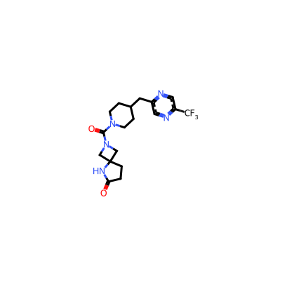 O=C1CCC2(CN(C(=O)N3CCC(Cc4cnc(C(F)(F)F)cn4)CC3)C2)N1